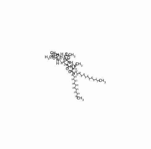 CCCCCCCCCCCCCN(CCCCCCCCCCCC)C(=O)[C@@H]1C[C@H](C)CN1C(=O)[C@@H](CCCCNC(=O)OC(C)(C)C)NC(=O)OC(C)(C)C